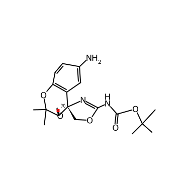 CC(C)(C)OC(=O)NC1=N[C@@]2(CO1)c1cc(N)ccc1OC(C)(C)C21COC1